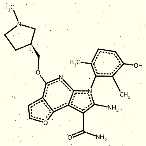 Cc1ccc(O)c(C)c1-n1c(N)c(C(N)=O)c2c3occc3c(OC[C@H]3CCN(C)C3)nc21